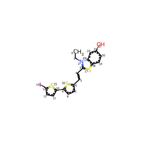 CC[n+]1c(/C=C/c2ccc(-c3ccc(I)s3)s2)sc2ccc(O)cc21